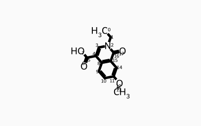 CCn1cc(C(=O)O)c2ccc(OC)cc2c1=O